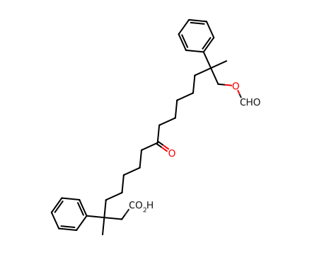 CC(CCCCCC(=O)CCCCCC(C)(CC(=O)O)c1ccccc1)(COC=O)c1ccccc1